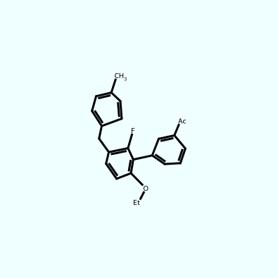 CCOc1ccc(Cc2ccc(C)cc2)c(F)c1-c1cccc(C(C)=O)c1